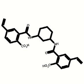 C=Cc1ccc(C(=O)O)c(C(=O)NC2CCCC(NC(=O)c3cc(C=C)ccc3C(=O)O)C2)c1